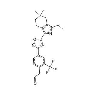 CCn1nc(-c2nc(-c3ccc(CC=O)c(C(F)(F)F)c3)no2)c2c1CC(C)(C)CC2